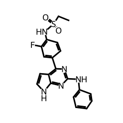 CCS(=O)(=O)Nc1ccc(-c2nc(Nc3ccccc3)nc3[nH]ccc23)cc1F